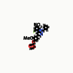 COc1cc(-c2cnc(NCc3ccccc3)c(-c3ccc([N+](=O)[O-])cc3F)c2)ccc1OC[C@H]1COCCO1